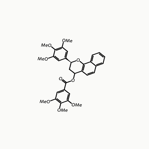 COc1cc(C(=O)OC2C[C@@H](c3cc(OC)c(OC)c(OC)c3)Oc3c2ccc2ccccc32)cc(OC)c1OC